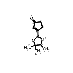 CC1OB(C2=CC(=O)CC2)OC1(C)C